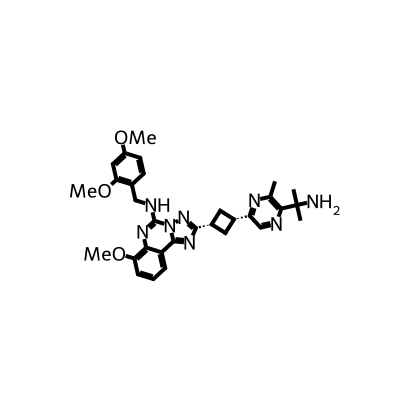 COc1ccc(CNc2nc3c(OC)cccc3c3nc([C@H]4C[C@@H](c5cnc(C(C)(C)N)c(C)n5)C4)nn23)c(OC)c1